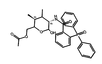 CC(=O)OCC1OC(O)[C@@H](NC(=O)c2ccccc2P(=O)(c2ccccc2)c2ccccc2)C(C)[C@@H]1C